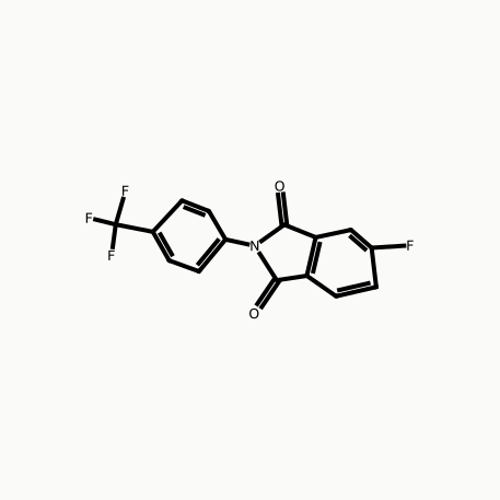 O=C1c2ccc(F)cc2C(=O)N1c1ccc(C(F)(F)F)cc1